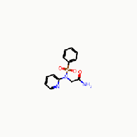 NC(=O)CN(c1ccccn1)S(=O)(=O)c1ccccc1